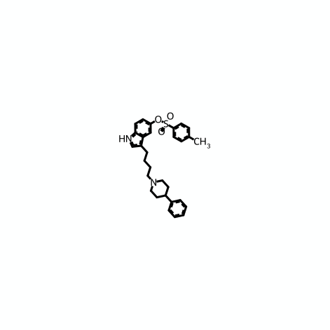 Cc1ccc(S(=O)(=O)Oc2ccc3[nH]cc(CCCCN4CCC(c5ccccc5)CC4)c3c2)cc1